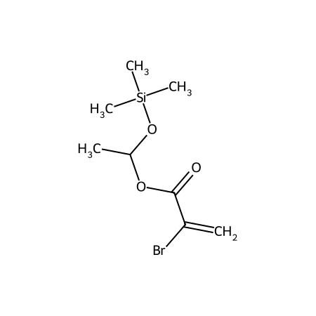 C=C(Br)C(=O)OC(C)O[Si](C)(C)C